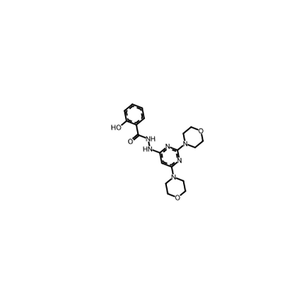 O=C(NNc1cc(N2CCOCC2)nc(N2CCOCC2)n1)c1ccccc1O